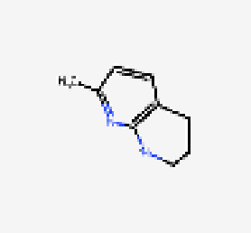 Cc1ccc2c(n1)[N]CCC2